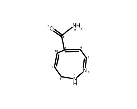 NC(=O)C1=CC=NNCC=C1